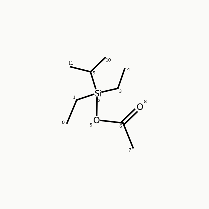 CC[Si](CC)(OC(C)=O)C(C)C